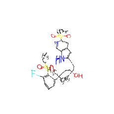 CC(C)S(=O)(=O)c1cc2cc(CC(O)(CC(C)(C)c3cccc(F)c3S(C)(=O)=O)C(F)(F)F)[nH]c2cn1